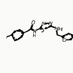 O=C(Nc1nnc(NCc2ccco2)s1)c1ccc(I)cc1